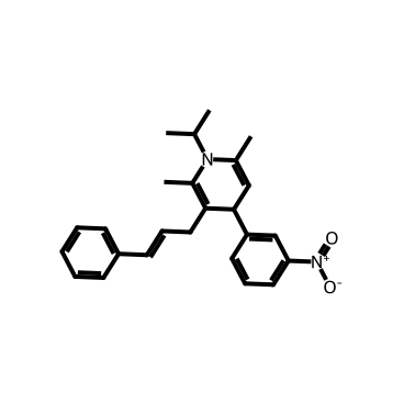 CC1=CC(c2cccc([N+](=O)[O-])c2)C(CC=Cc2ccccc2)=C(C)N1C(C)C